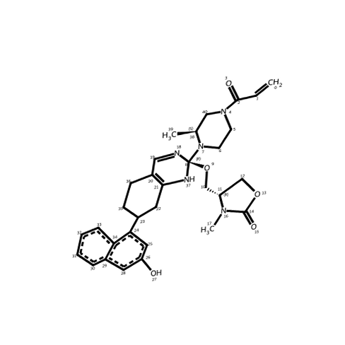 C=CC(=O)N1CCN([C@@]2(OC[C@@H]3COC(=O)N3C)N=CC3=C(CC(c4cc(O)cc5ccccc45)CC3)N2)[C@@H](C)C1